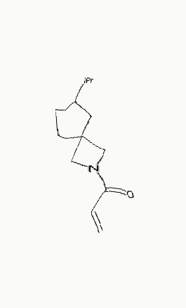 C=CC(=O)N1CC2(CCC(C(C)C)C2)C1